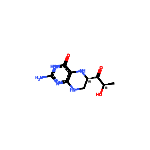 C[C@@H](O)C(=O)[C@@H]1CNc2nc(N)[nH]c(=O)c2N1